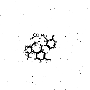 Cc1cccc([C@@H]2O[C@@H](CC(=O)O)c3nnc(C(F)(F)F)n3-c3ccc(Cl)cc32)c1C